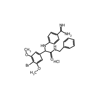 COc1cc(C(Nc2ccc(C(=N)N)cc2)C(=O)NCc2ccccc2)cc(OC)c1Br.Cl